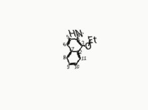 CCOc1c([NH])ccc2ccccc12